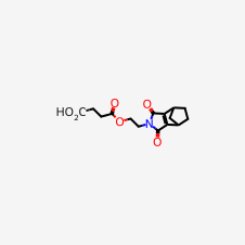 O=C(O)CCC(=O)OCCN1C(=O)C2=C(C1=O)C1CCC2C1